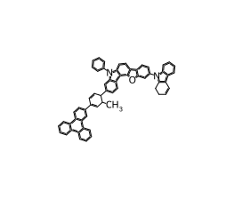 CC1C=C(c2ccc3c4ccccc4c4ccccc4c3c2)C=CC1c1ccc2c3c4oc5cc(-n6c7c(c8ccccc86)C=CCC7)ccc5c4ccc3n(-c3ccccc3)c2c1